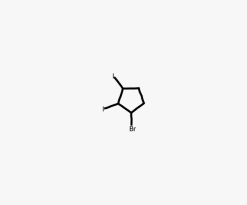 BrC1CCC(I)C1I